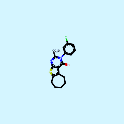 CCOC(=O)c1nc2sc3c(c2c(=O)n1-c1cccc(Cl)c1)CCCCC3